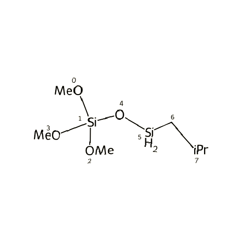 CO[Si](OC)(OC)O[SiH2]CC(C)C